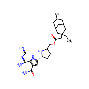 CCC1(CC(=O)OCC2CC[C@H](c3cc(C(N)=O)c(/C(N)=N\C=N)[nH]3)N2)CC2CC(C)CC(C2)C1